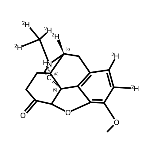 [2H]c1c([2H])c(OC)c2c3c1C[C@]1([2H])[C@@H]4CCC(=O)C(O2)[C@]34CCN1C([2H])([2H])[2H]